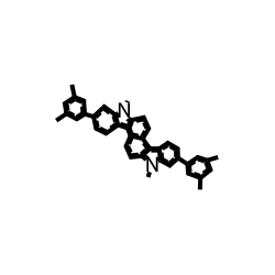 Cc1cc(C)cc(-c2ccc3c4c5ccc6c(c5ccc4n(C)c3c2)c2ccc(-c3cc(C)cc(C)c3)cc2n6C)c1